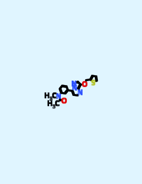 CC(=O)N(C)c1cccc(-c2ccnc3c(OCc4cccs4)cnn23)c1